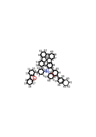 c1ccc(N(c2ccc(-c3cccc4c3oc3ccccc34)cc2)c2cc3c(cc2-c2ccc(-c4ccc5c(c4)CCCC5)cc2)-c2ccccc2C32c3ccccc3-c3ccccc32)cc1